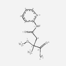 COC(C)([CH]C(=O)Nc1ccccn1)C(N)=O